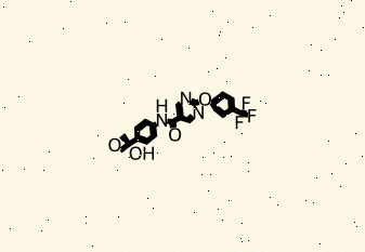 O=C(Nc1ccc(C2(O)COC2)cc1)c1cnc(Oc2ccc(C(F)(F)F)cc2)nc1